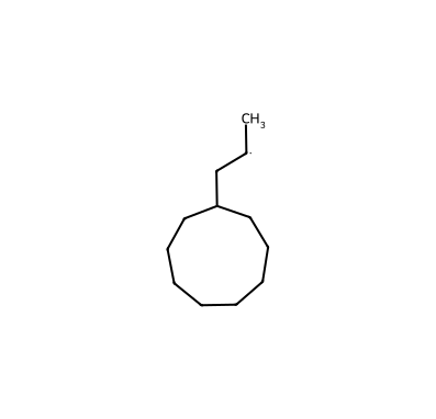 C[CH]CC1CCCCCCCC1